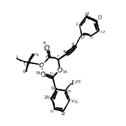 CC(C)(C)OC(=O)C(C#Cc1ccccc1)OC(=O)c1ccccc1I